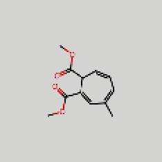 COC(=O)C1=CC(C)=CC=CC1C(=O)OC